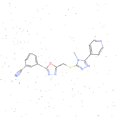 Cn1c(SCc2nnc(-c3cccc(C#N)c3)o2)nnc1-c1ccncc1